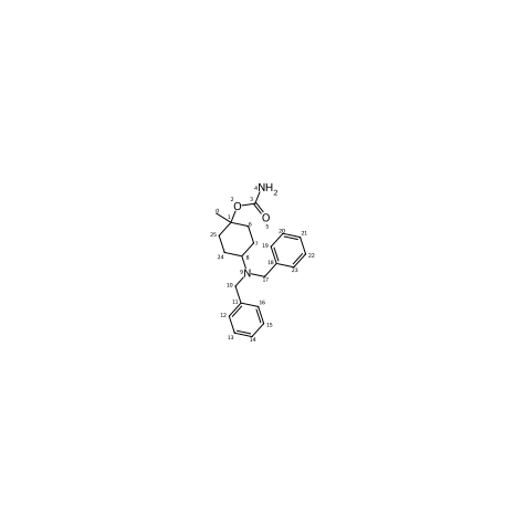 CC1(OC(N)=O)CCC(N(Cc2ccccc2)Cc2ccccc2)CC1